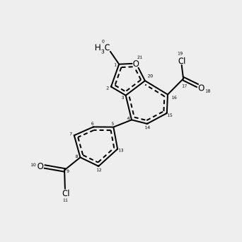 Cc1cc2c(-c3ccc(C(=O)Cl)cc3)ccc(C(=O)Cl)c2o1